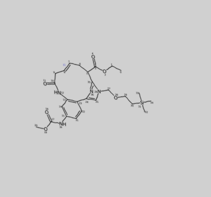 CCOC(=O)C1C/C=C/CC(=O)Nc2cc(NC(=O)OC)ccc2-c2cn(COCC[Si](C)(C)C)c1n2